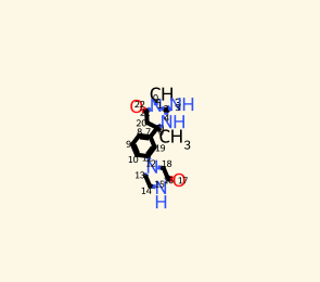 CN1C(=N)N[C@](C)(c2cccc(N3CCNC(=O)C3)c2)CC1=O